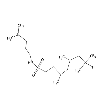 CN(C)CCCNS(=O)(=O)CCC(CC(CC(F)(C(F)(F)F)C(F)(F)F)C(F)(F)F)C(F)(F)F